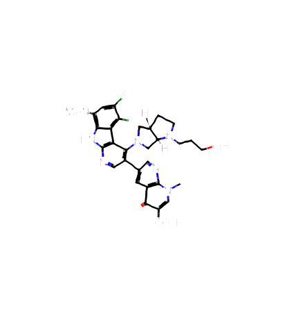 CNc1cc(F)c(F)c2c1[nH]c1ncc(-c3cnc4c(c3)c(=O)c(C(=O)O)cn4C)c(N3C[C@@H]4CCN(CCCO)[C@@H]4C3)c12